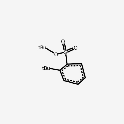 CC(C)(C)OS(=O)(=O)c1ccccc1C(C)(C)C